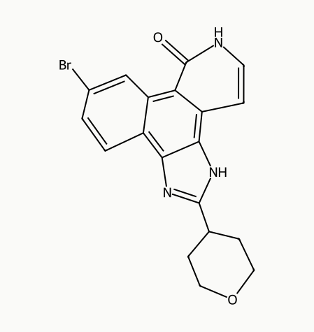 O=c1[nH]ccc2c3[nH]c(C4CCOCC4)nc3c3ccc(Br)cc3c12